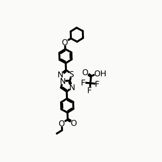 CCOC(=O)c1ccc(-c2cn3nc(-c4ccc(OC5CCCCC5)cc4)sc3n2)cc1.O=C(O)C(F)(F)F